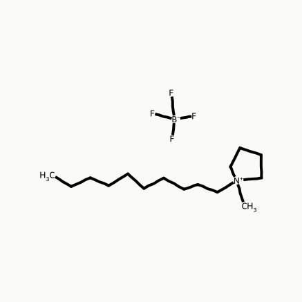 CCCCCCCCCC[N+]1(C)CCCC1.F[B-](F)(F)F